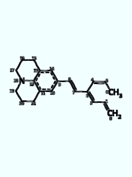 C=C/C=C(\C=C/C)/C=C/c1cc2c3c(c1)CCCN3CCC2